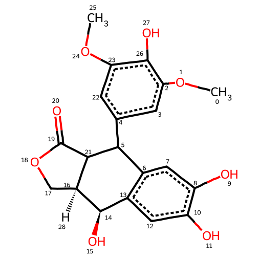 COc1cc(C2c3cc(O)c(O)cc3[C@@H](O)[C@H]3COC(=O)C23)cc(OC)c1O